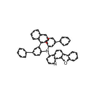 c1ccc(-c2cccc(N(c3ccc(-c4ccccc4)cc3-c3cccc4ccccc34)c3ccnc4c3ccc3c5ccccc5oc34)c2)cc1